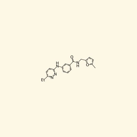 CCc1ccc(Nc2cccc(C(=O)NCc3ccc(C)o3)c2)nn1